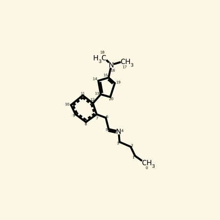 CCCCN=CCc1ccccc1C1=CC(N(C)C)=CC1